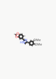 COc1ccc(-c2c[nH]c(-c3ccc4c(c3)OCO4)n2)cc1OC